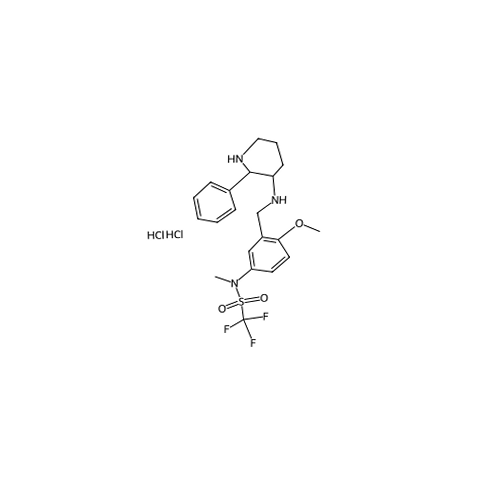 COc1ccc(N(C)S(=O)(=O)C(F)(F)F)cc1CNC1CCCNC1c1ccccc1.Cl.Cl